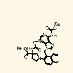 C=Cc1c(F)ccc(N2CC[C@](NC(=O)OC(C)(C)C)(C(=O)OC)C2)c1Cn1cnc2c(NC(=O)OC(C)(C)C)ncnc21